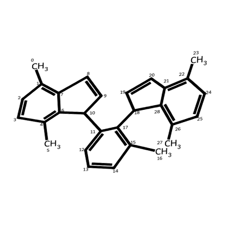 Cc1ccc(C)c2c1C=CC2c1cccc(C)c1C1C=Cc2c(C)ccc(C)c21